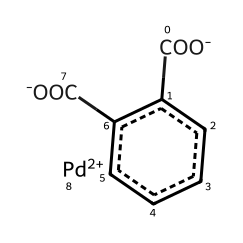 O=C([O-])c1ccccc1C(=O)[O-].[Pd+2]